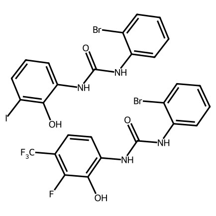 O=C(Nc1ccccc1Br)Nc1ccc(C(F)(F)F)c(F)c1O.O=C(Nc1ccccc1Br)Nc1cccc(I)c1O